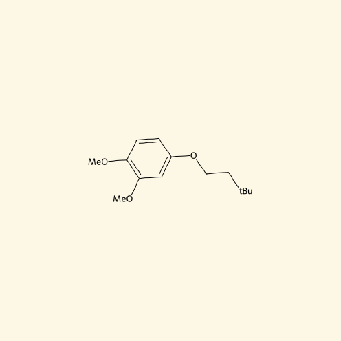 COc1ccc(OCCC(C)(C)C)cc1OC